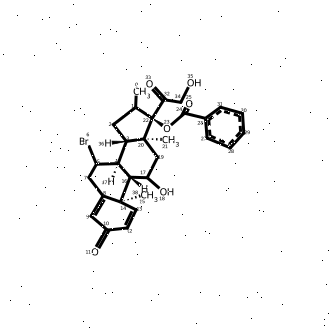 CC1C[C@H]2[C@@H]3C(Br)CC4=CC(=O)C=C[C@]4(C)[C@H]3C(O)C[C@]2(C)[C@@]1(OC(=O)c1ccccc1)C(=O)CO